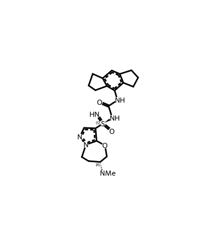 CN[C@@H]1CCn2ncc([S@](=N)(=O)NC(=O)Nc3c4c(cc5c3CCC5)CCC4)c2OC1